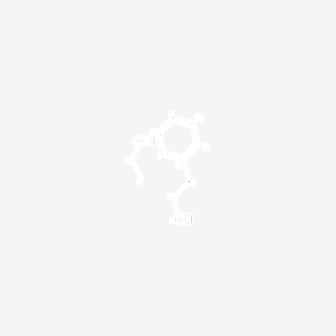 CCO.OCCc1ccccc1